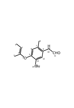 CC=C(C)Oc1cc(C)c(NC=O)cc1C(C)(C)C